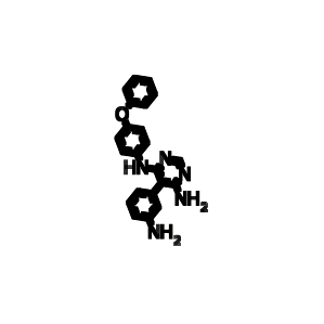 Nc1cccc(-c2c(N)ncnc2Nc2ccc(Oc3ccccc3)cc2)c1